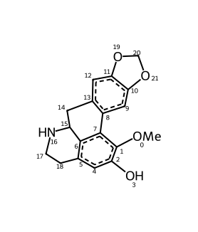 COc1c(O)cc2c3c1-c1cc4c(cc1CC3NCC2)OCO4